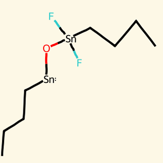 CCC[CH2][Sn][O][Sn]([F])([F])[CH2]CCC